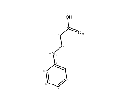 O=C(O)CCNc1cc[c]cc1